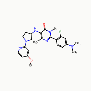 CCOc1ccnc(N2CCC(Nc3c(C)nc(-c4ccc(N(C)C)cc4Cl)n(CC)c3=O)C2)c1